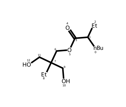 CCCCC(CC)C(=O)OCC(CC)(CO)CO